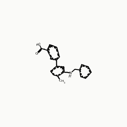 Cc1ccc(-c2cccc(C(=O)O)c2)cc1NCc1ccccc1